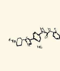 Cl.O=C(Nc1ccc(-c2cnc(C3CCNCC3)s2)cc1)Nc1ccccc1F